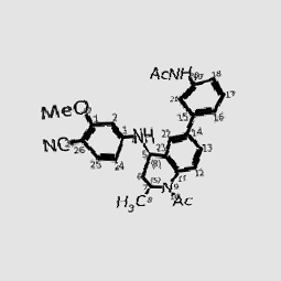 COc1cc(N[C@@H]2C[C@H](C)N(C(C)=O)c3ccc(-c4cccc(NC(C)=O)c4)cc32)ccc1C#N